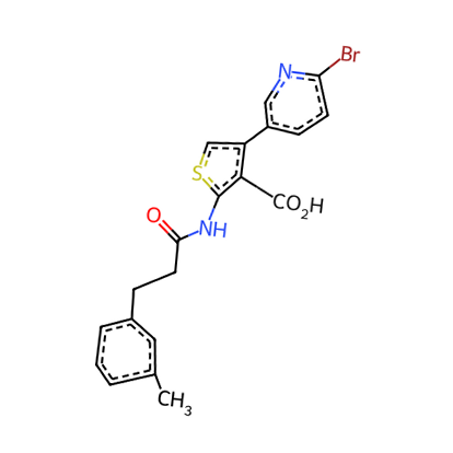 Cc1cccc(CCC(=O)Nc2scc(-c3ccc(Br)nc3)c2C(=O)O)c1